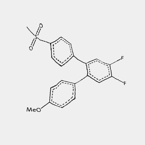 COc1ccc(-c2cc(F)c(F)cc2-c2ccc(S(C)(=O)=O)cc2)cc1